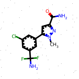 Cn1nc(C(N)=O)cc1-c1cc(Cl)cc(C(N)(F)F)c1